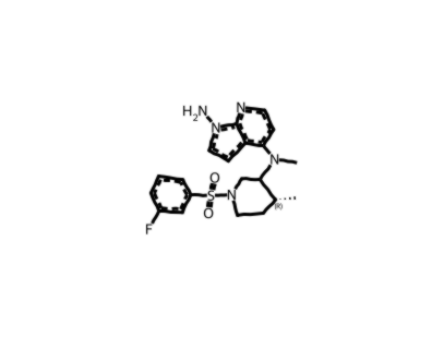 C[C@@H]1CCN(S(=O)(=O)c2cccc(F)c2)CC1N(C)c1ccnc2c1ccn2N